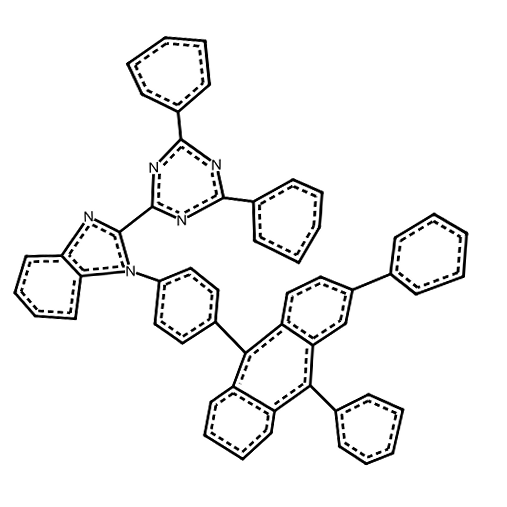 c1ccc(-c2ccc3c(-c4ccc(-n5c(-c6nc(-c7ccccc7)nc(-c7ccccc7)n6)nc6ccccc65)cc4)c4ccccc4c(-c4ccccc4)c3c2)cc1